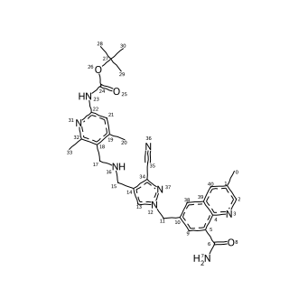 Cc1cnc2c(C(N)=O)cc(Cn3cc(CNCc4c(C)cc(NC(=O)OC(C)(C)C)nc4C)c(C#N)n3)cc2c1